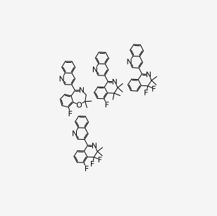 CC1(C)CN=C(c2cnc3ccccc3c2)c2cccc(F)c2O1.CC1(C)N=C(c2cnc3ccccc3c2)c2cccc(F)c2C1(C)C.CC1(C)N=C(c2cnc3ccccc3c2)c2cccc(F)c2C1(F)F.CC1(C)N=C(c2cnc3ccccc3c2)c2ccccc2C1(F)F